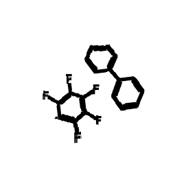 Fc1[c]c(F)c(F)c(F)c1F.c1ccc(-c2ccccc2)cc1